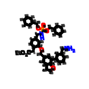 CCOC(=O)Cc1ccc(CNP(=O)(OCc2ccccc2)OCc2ccccc2)cc1OCc1cc(-c2cccc(CN)c2)c2occc2c1